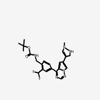 CN1C=C(c2cc3c(-c4ccc(CNC(=O)OC(C)(C)C)c(C(F)F)c4)ncnn3c2)CN1